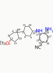 CCO[C@H]1CC[C@](C)(C2CCC(Nc3cc(C#N)ccc3N)CC2)CC1